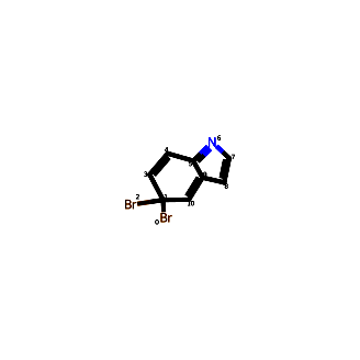 BrC1(Br)C=CC2=NC=CC2=C1